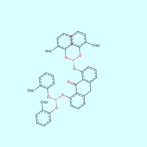 O=Cc1ccccc1OP(Oc1ccccc1C=O)Oc1cccc2c1C(=O)c1c(cccc1OP(Oc1ccccc1C=O)Oc1ccccc1C=O)C2